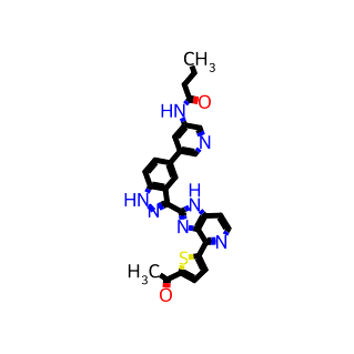 CCCC(=O)Nc1cncc(-c2ccc3[nH]nc(-c4nc5c(-c6ccc(C(C)=O)s6)nccc5[nH]4)c3c2)c1